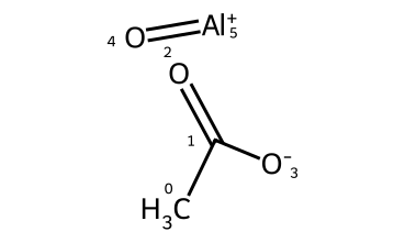 CC(=O)[O-].[O]=[Al+]